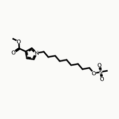 COC(=O)c1ccn(CCCCCCCCCOS(C)(=O)=O)c1